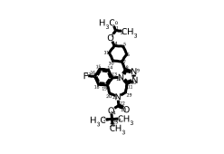 CC(C)OC1CCC(c2nnc3n2-c2ccc(F)cc2CN(C(=O)OC(C)(C)C)C3)CC1